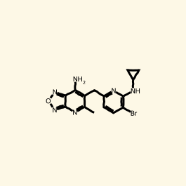 Cc1nc2nonc2c(N)c1Cc1ccc(Br)c(NC2CC2)n1